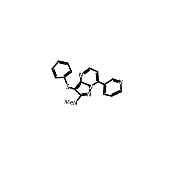 CNc1nn2c(-c3cccnc3)ccnc2c1Sc1ccccc1